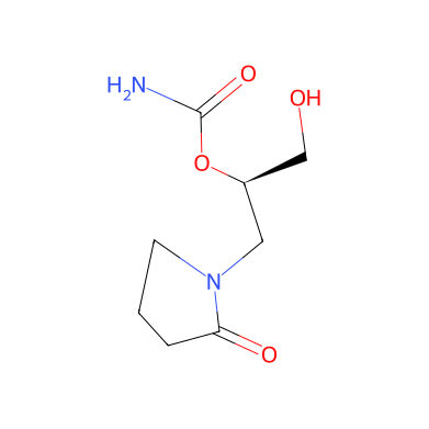 NC(=O)O[C@@H](CO)CN1CCCC1=O